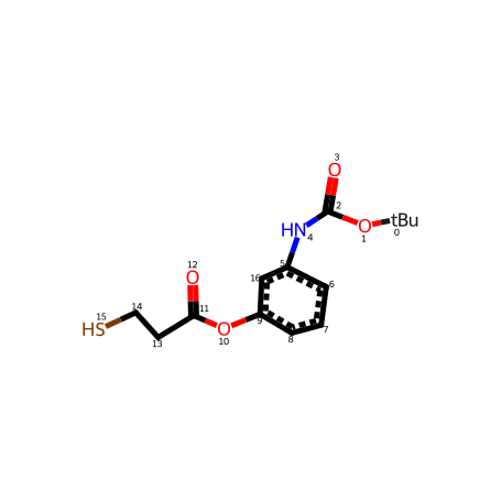 CC(C)(C)OC(=O)Nc1cccc(OC(=O)CCS)c1